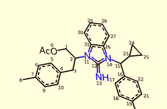 CC(=O)OCC(Cc1ccc(C)cc1)n1c(=N)n(C(c2ccc(C)cc2)C2CC2)c2ccccc21